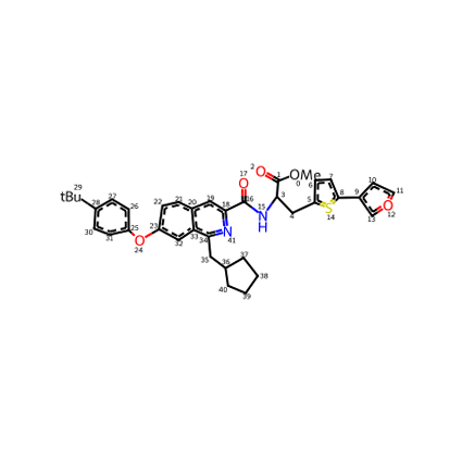 COC(=O)C(Cc1ccc(-c2ccoc2)s1)NC(=O)c1cc2ccc(Oc3ccc(C(C)(C)C)cc3)cc2c(CC2CCCC2)n1